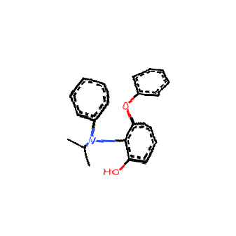 CC(C)N(c1ccccc1)c1c(O)cccc1Oc1ccccc1